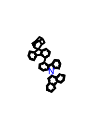 c1ccc2c(c1)-c1c(-c3cccc4c3c3ccccc3n4-c3cc4ccccc4c4ccccc34)cccc1C21C2CC3CC(C2)CC1C3